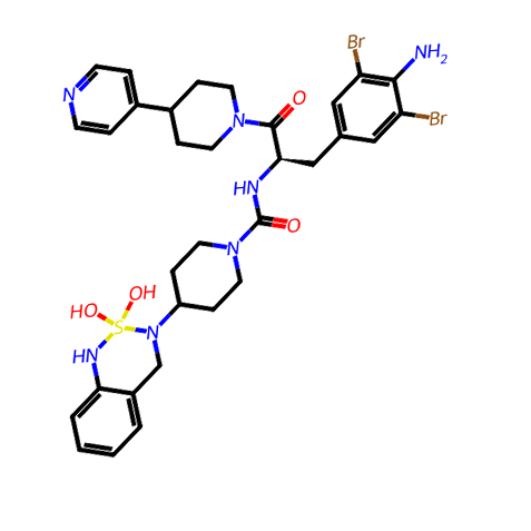 Nc1c(Br)cc(C[C@@H](NC(=O)N2CCC(N3Cc4ccccc4NS3(O)O)CC2)C(=O)N2CCC(c3ccncc3)CC2)cc1Br